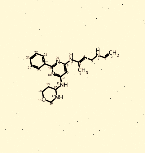 C=CNC/C=C(\C)Nc1cc(NC2CCOCN2)nc(-c2ccccc2)n1